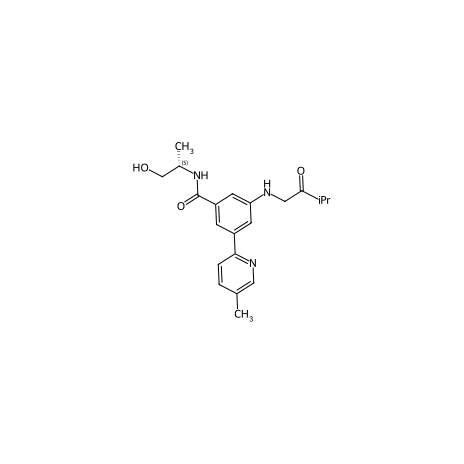 Cc1ccc(-c2cc(NCC(=O)C(C)C)cc(C(=O)N[C@@H](C)CO)c2)nc1